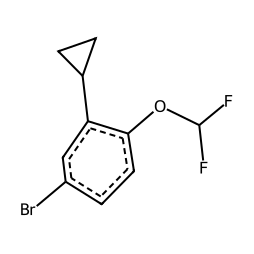 FC(F)Oc1ccc(Br)cc1C1CC1